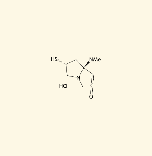 CN[C@]1(C=C=O)C[C@@H](S)CN1C.Cl